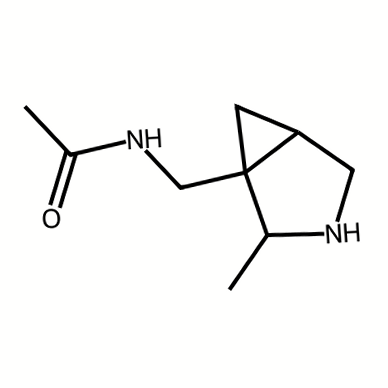 CC(=O)NCC12CC1CNC2C